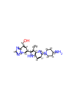 CC(C)c1c(-c2cc(CO)c3ncnn3c2)[nH]c2ccc(N3CCC(N)CC3)nc12